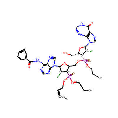 C=CCOP(=S)(OCCC#N)[C@@H]1C(COP(=S)(OCCC#N)[C@@H]2[C@H](CO)OC(n3cnc4c(=O)[nH]cnc43)[C@@H]2F)OC(n2cnc3c(NC(=O)c4ccccc4)ncnc32)[C@@H]1F